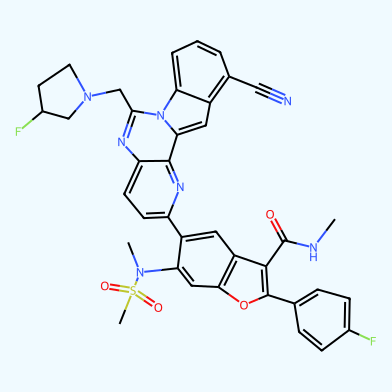 CNC(=O)c1c(-c2ccc(F)cc2)oc2cc(N(C)S(C)(=O)=O)c(-c3ccc4nc(CN5CCC(F)C5)n5c6cccc(C#N)c6cc5c4n3)cc12